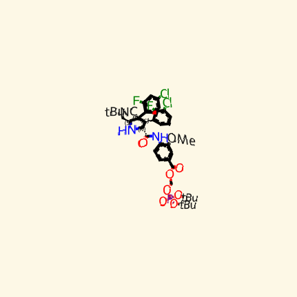 COc1cc(C(=O)OCOP(=O)(OC(C)(C)C)OC(C)(C)C)ccc1NC(=O)[C@@H]1N[C@@H](CC(C)(C)C)[C@](C#N)(c2ccc(Cl)cc2F)[C@H]1c1cccc(Cl)c1F